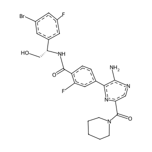 Nc1ncc(C(=O)N2CCCCC2)nc1-c1ccc(C(=O)N[C@H](CO)c2cc(F)cc(Br)c2)c(F)c1